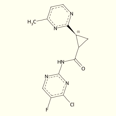 Cc1ccnc([C@H]2CC2C(=O)Nc2ncc(F)c(Cl)n2)n1